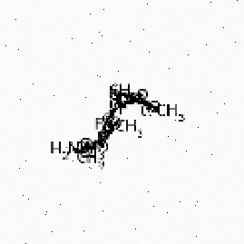 CCOC(=O)CCC(=O)N1Cc2cc(OC)c(OCCCOc3c(OC)cc4c(c3F)CN(C(=O)CCC(=O)OC(C)(C)CN)C4)c(F)c2C1